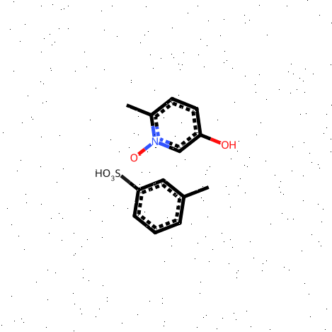 Cc1ccc(O)c[n+]1[O-].Cc1cccc(S(=O)(=O)O)c1